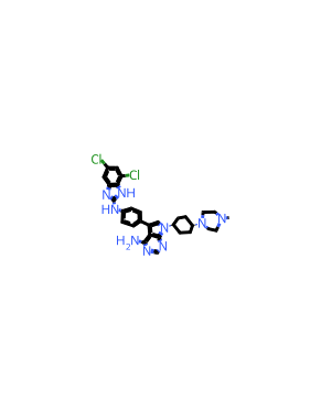 CN1CCN([C@H]2CC[C@@H](n3cc(-c4ccc(Nc5nc6cc(Cl)cc(Cl)c6[nH]5)cc4)c4c(N)ncnc43)CC2)CC1